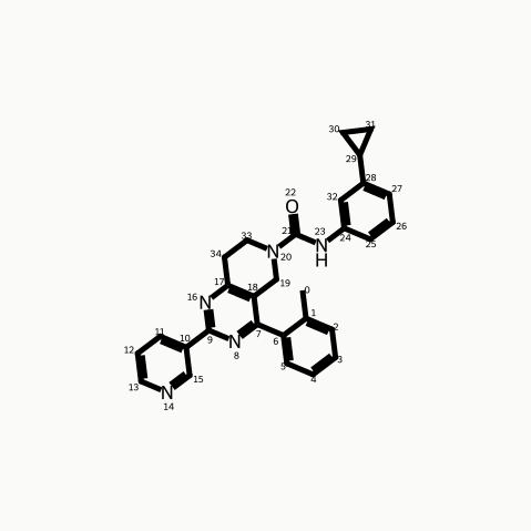 Cc1ccccc1-c1nc(-c2cccnc2)nc2c1CN(C(=O)Nc1cccc(C3CC3)c1)CC2